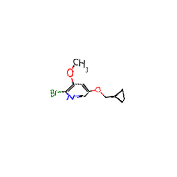 COc1cc(OCC2CC2)cnc1Br